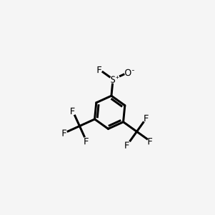 [O-][S+](F)c1cc(C(F)(F)F)cc(C(F)(F)F)c1